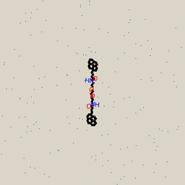 O=C(CCCc1ccc2ccc3cccc4ccc1c2c34)NCCCOCCOCCCNC(=O)CCCc1ccc2ccc3cccc4ccc1c2c34